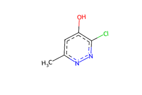 Cc1cc(O)c(Cl)nn1